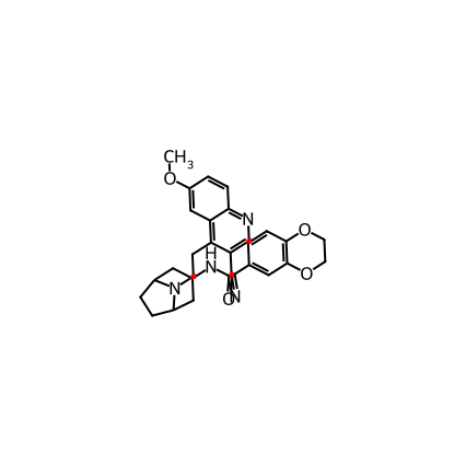 COc1ccc2ncc(C#N)c(CCN3C4CCC3CC(NC(=O)c3ccc5c(c3)OCCO5)C4)c2c1